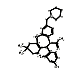 CC(=O)N1c2ccc(CN3CCCCC3)cc2NC2=C(C(=O)CC(C)(C)C2)C1c1ccc(Cl)cc1Cl